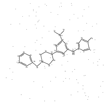 Cc1ccc(Nc2cc(N(C)C)nc(N3CCN(Cc4ccccc4)CC3)n2)cc1